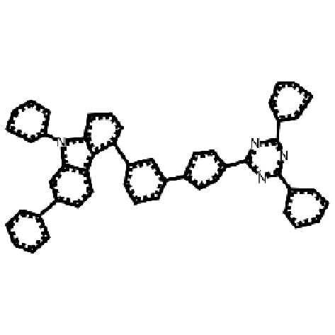 c1ccc(-c2ccc3c4c(-c5cccc(-c6ccc(-c7nc(-c8ccccc8)nc(-c8ccccc8)n7)cc6)c5)cccc4n(-c4ccccc4)c3c2)cc1